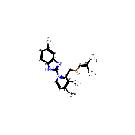 COc1cc[n+](-c2nc3cc(C(F)(F)F)ccc3[nH]2)c(CSC=C(C)C)c1C